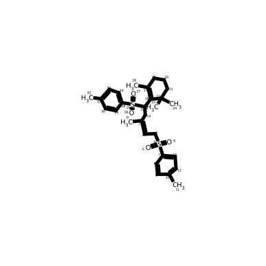 CC(=CCS(=O)(=O)c1ccc(C)cc1)CC(C1=C(C)CCCC1(C)C)S(=O)(=O)c1ccc(C)cc1